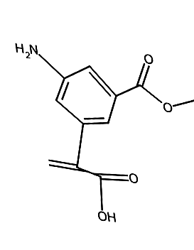 C=C(C(=O)O)c1cc(N)cc(C(=O)OC)c1